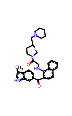 Cc1c[nH]c2cc(C(=O)c3ccc4ccccc4c3NCC(=O)N3CCC(CN4CCCCC4)CC3)ccc12